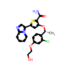 C[C@@H](Oc1cc(-c2cnc3ccccn23)sc1C(N)=O)c1ccc(OCCO)cc1Cl